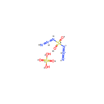 O=S(=O)(O)O.[N-]=[N+]=NS(=O)(=O)N=[N+]=[N-]